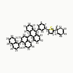 CC1(c2ccc(-c3cccc(-c4c5ccccc5c(-c5ccc(-c6cccc7ccccc67)c6ccccc56)c5ccccc45)c3)s2)C=CC=CC1